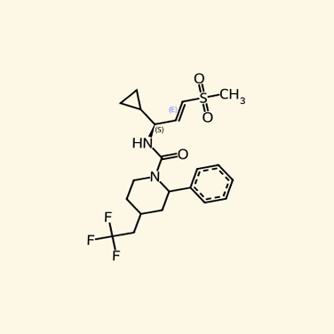 CS(=O)(=O)/C=C/[C@@H](NC(=O)N1CCC(CC(F)(F)F)CC1c1ccccc1)C1CC1